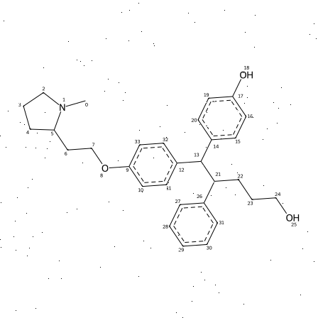 CN1CCCC1CCOc1ccc(C(c2ccc(O)cc2)C(CCCO)c2ccccc2)cc1